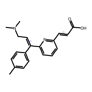 Cc1ccc(/C(=C\CN(C)C)c2cccc(/C=C/C(=O)O)n2)cc1